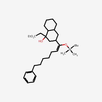 CCOC(=O)CC1(O)CC(/C(=C\CCCCCc2ccccc2)O[Si](C)(C)C(C)(C)C)CC2CCCCC21